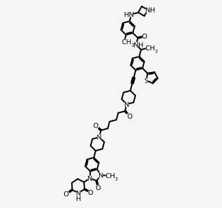 Cc1ccc(NC2CNC2)cc1C(=O)NC(C)c1ccc(C#CC2CCN(C(=O)CCCCC(=O)N3CCC(c4ccc5c(c4)n(C)c(=O)n5C4CCC(=O)NC4=O)CC3)CC2)c(-c2cccs2)c1